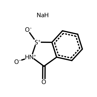 O=C1c2ccccc2[S+]([O-])[NH+]1[O-].[NaH]